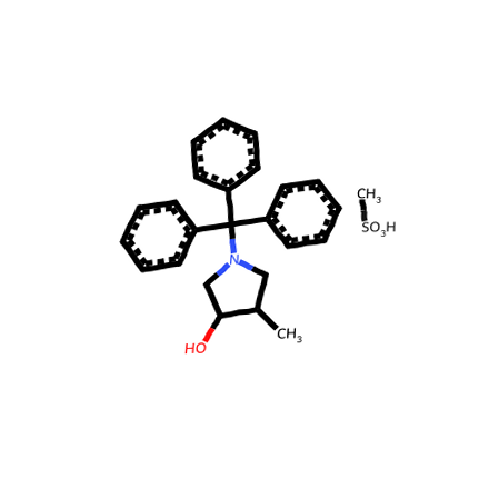 CC1CN(C(c2ccccc2)(c2ccccc2)c2ccccc2)CC1O.CS(=O)(=O)O